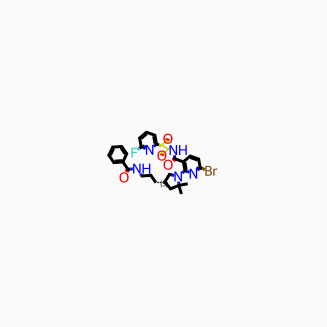 CC1(C)C[C@H](CCCNC(=O)c2ccccc2)CN1c1nc(Br)ccc1C(=O)NS(=O)(=O)c1cccc(F)n1